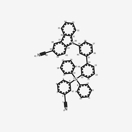 N#Cc1cccc([Si](c2ccccc2)(c2ccccc2)c2cccc(-c3cccc(-n4c5ccccc5c5cc(C#N)ccc54)c3)c2)c1